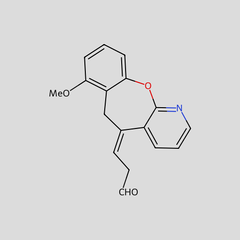 COc1cccc2c1C/C(=C/CC=O)c1cccnc1O2